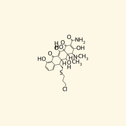 CN(C)[C@@H]1C(O)=C(C(N)=O)C(=O)[C@@]2(O)C(O)=C3C(=O)c4c(O)cccc4[C@H](CSCCCCl)[C@H]3[C@H](O)[C@@H]12